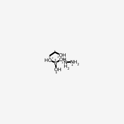 CCO.NN.OB(O)O